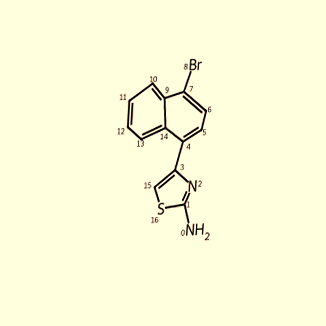 Nc1nc(-c2ccc(Br)c3ccccc23)cs1